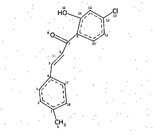 Cc1ccc(/C=C/C(=O)c2ccc(Cl)cc2O)cc1